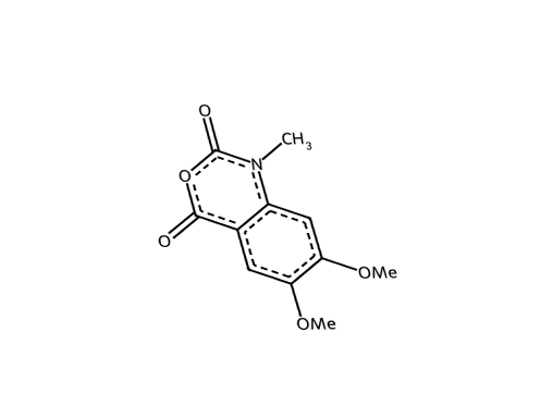 COc1cc2c(=O)oc(=O)n(C)c2cc1OC